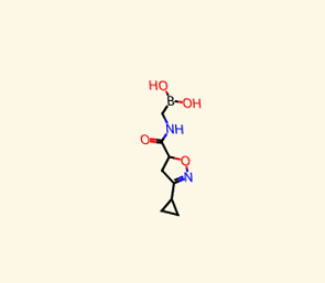 O=C(NCB(O)O)C1CC(C2CC2)=NO1